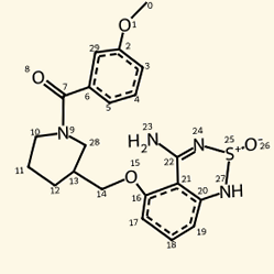 COc1cccc(C(=O)N2CCCC(COc3cccc4c3C(N)=N[S+]([O-])N4)C2)c1